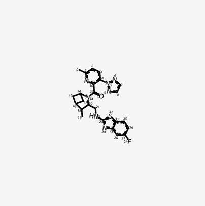 Cc1ccc(-n2nccn2)c(C(=O)N2C3CC(C3)C(C)C2CNc2nc3cc(F)ccc3s2)n1